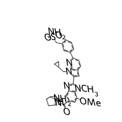 COc1cc(C(=O)N2CC3CCC2[C@@H]3N)cc2nc(-c3cc4ccc(-c5cccc(CS(N)(=O)=O)c5)nc4n3CC3CC3)n(C)c12